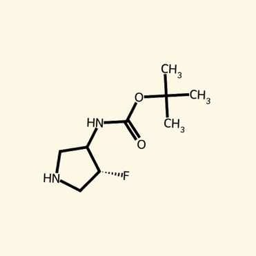 CC(C)(C)OC(=O)NC1CNC[C@H]1F